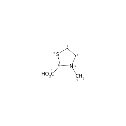 CN1CCSC1C(=O)O